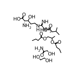 CC(C)CC(=O)O.CCCC(=O)OCC(C)OC(=O)CCC.N=C(N)NCCC(O)[C@H](N)C(=O)O.NC(=O)CO.OCCO